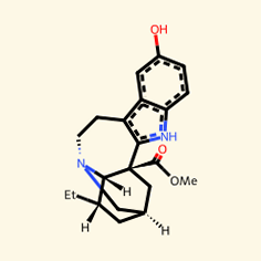 CC[C@H]1C[C@H]2C[N@]3CCc4c([nH]c5ccc(O)cc45)[C@](C(=O)OC)(C2)[C@H]13